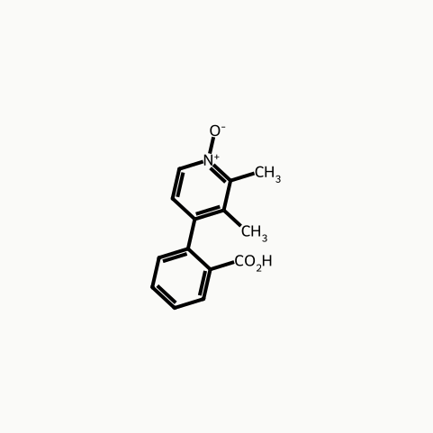 Cc1c(-c2ccccc2C(=O)O)cc[n+]([O-])c1C